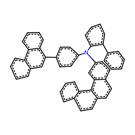 c1ccc(-c2ccccc2N(c2ccc(-c3cc4ccccc4c4ccccc34)cc2)c2ccc3ccc4ccc5ccccc5c4c3c2)cc1